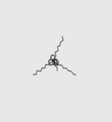 CCCCCCCCO[Si](CCC)(OCCCCCCCC)OCCCCCCCC